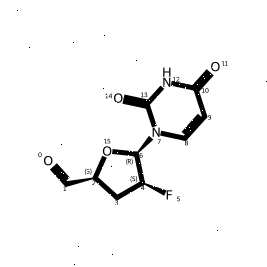 O=C[C@@H]1C[C@H](F)[C@H](n2ccc(=O)[nH]c2=O)O1